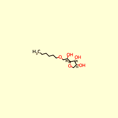 CCCCCCOC[C@@H](O)[C@H]1OC[C@H](O)[C@H]1O